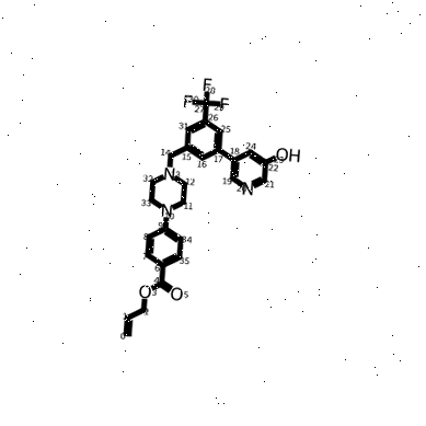 C=CCOC(=O)c1ccc(N2CCN(Cc3cc(-c4cncc(O)c4)cc(C(F)(F)F)c3)CC2)cc1